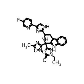 CCn1nc(C2(c3noc(C)n3)NC(c3nc(-c4ccc(F)cn4)c[nH]3)Cc3c2[nH]c2ccccc32)oc1=O